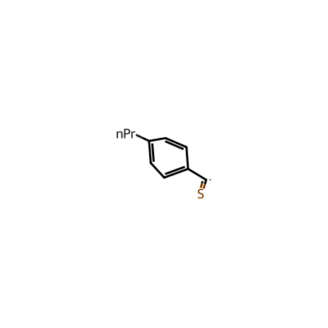 CCCc1ccc([C]=S)cc1